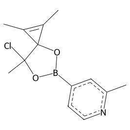 CC1=C(C)C12OB(c1ccnc(C)c1)OC2(C)Cl